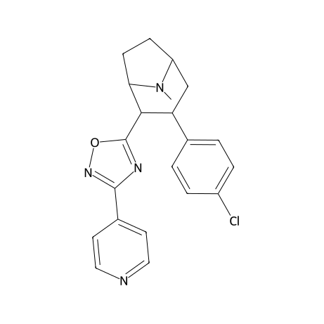 CN1C2CCC1C(c1nc(-c3ccncc3)no1)C(c1ccc(Cl)cc1)C2